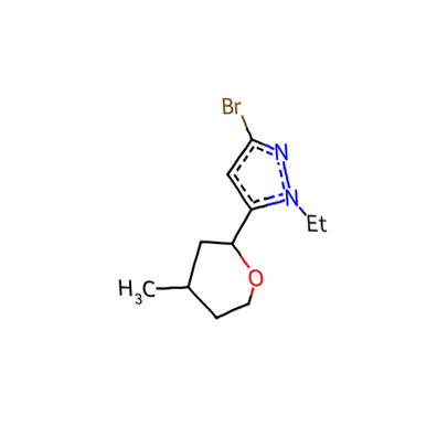 CCn1nc(Br)cc1C1CC(C)CCO1